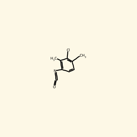 Cc1ccc(N=C=O)c(C)c1Cl